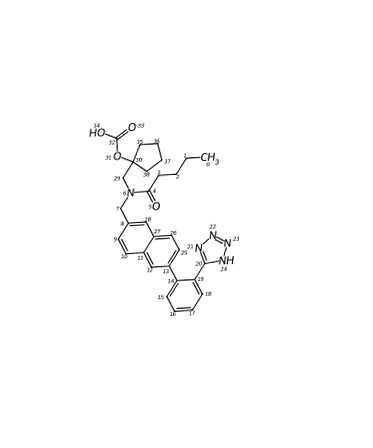 CCCCC(=O)N(Cc1ccc2cc(-c3ccccc3-c3nnn[nH]3)ccc2c1)CC1(OC(=O)O)CCCC1